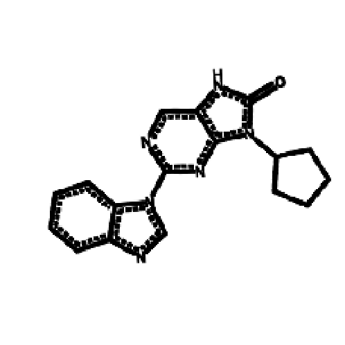 O=c1[nH]c2cnc(-n3cnc4ccccc43)nc2n1C1CCCC1